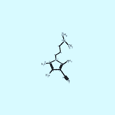 Cc1c(C#N)c(N)n(CCCN(C)C)c1C